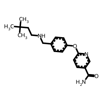 CC(C)(C)CCNCc1ccc(Oc2ccc(C(N)=O)cn2)cc1